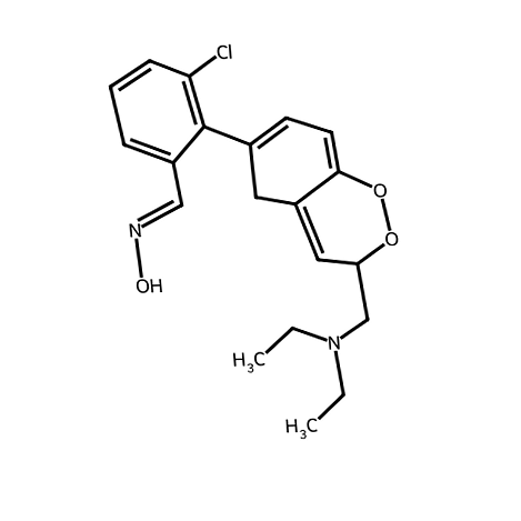 CCN(CC)CC1C=C2CC(c3c(Cl)cccc3C=NO)=CC=C2OO1